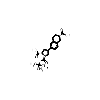 CC(C)(C)OC(=O)N1CC(c2ccc3c(c2)CC[C@H](C(=O)O)C3)C[C@H]1C(=O)O